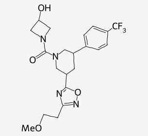 COCCc1noc(C2CC(c3ccc(C(F)(F)F)cc3)CN(C(=O)N3CC(O)C3)C2)n1